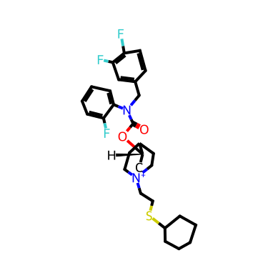 O=C(O[C@H]1C[N+]2(CCSC3CCCCC3)CCC1CC2)N(Cc1ccc(F)c(F)c1)c1ccccc1F